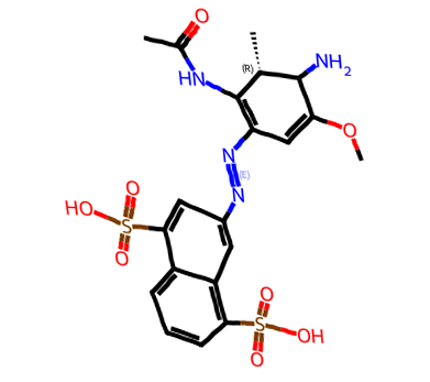 COC1=CC(/N=N/c2cc(S(=O)(=O)O)c3cccc(S(=O)(=O)O)c3c2)=C(NC(C)=O)[C@H](C)C1N